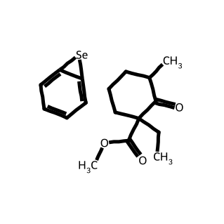 CCC1(C(=O)OC)CCCC(C)C1=O.c1ccc2c(c1)[Se]2